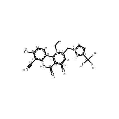 CCn1c(Cn2ccc(C(F)(F)F)n2)cc(=O)c(C(=O)O)c1-c1ccc(Cl)c(C#N)c1